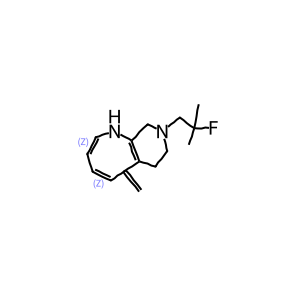 C=C1/C=C\C=C/NC2=C1CCN(CC(C)(C)F)C2